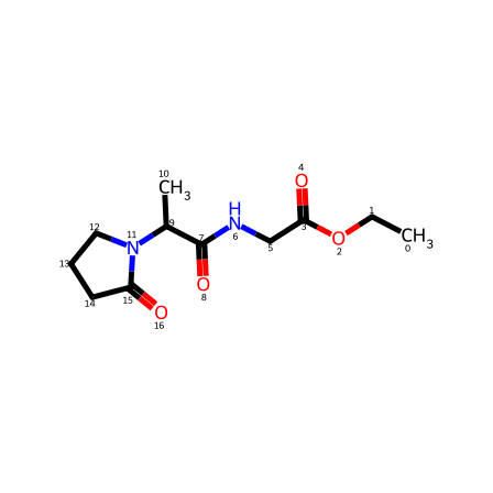 CCOC(=O)CNC(=O)C(C)N1CCCC1=O